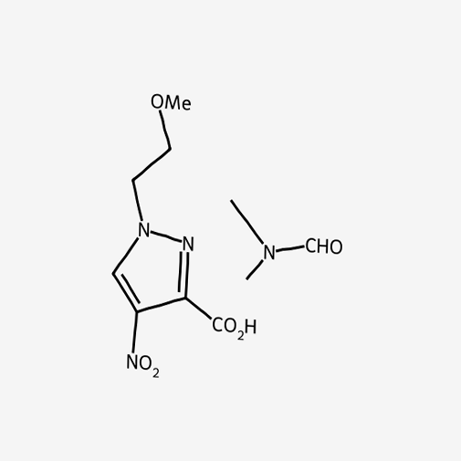 CN(C)C=O.COCCn1cc([N+](=O)[O-])c(C(=O)O)n1